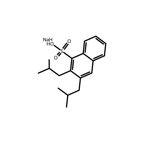 CC(C)Cc1cc2ccccc2c(S(=O)(=O)O)c1CC(C)C.[NaH]